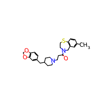 Cc1ccc2c(c1)CN(C(=O)CCN1CCC(Cc3ccc4c(c3)OCO4)CC1)CCS2